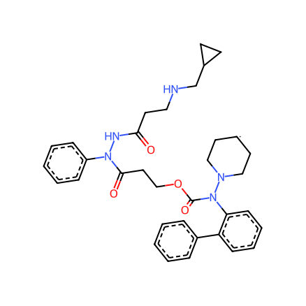 O=C(CCNCC1CC1)NN(C(=O)CCOC(=O)N(c1ccccc1-c1ccccc1)N1CC[CH]CC1)c1ccccc1